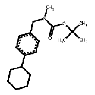 CN(Cc1ccc(C2CCCCC2)cc1)C(=O)OC(C)(C)C